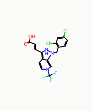 O=C(O)C=CC1=C2C=CN(C(F)(F)F)C=C2N(Cc2ccc(Cl)cc2Cl)N1